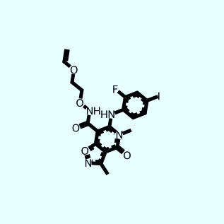 C=COCCONC(=O)c1c(Nc2ccc(I)cc2F)n(C)c(=O)c2c(C)noc12